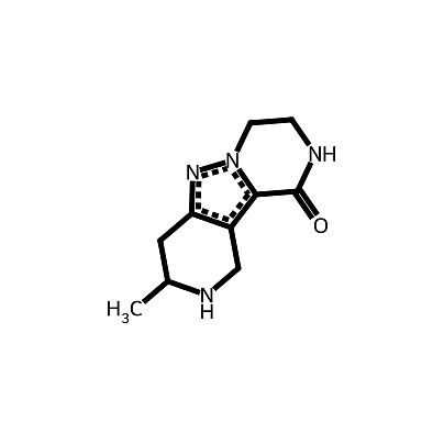 CC1Cc2nn3c(c2CN1)C(=O)NCC3